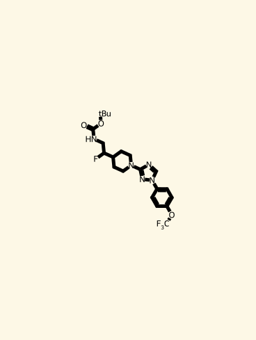 CC(C)(C)OC(=O)NCC(F)C1CCN(c2ncn(-c3ccc(OC(F)(F)F)cc3)n2)CC1